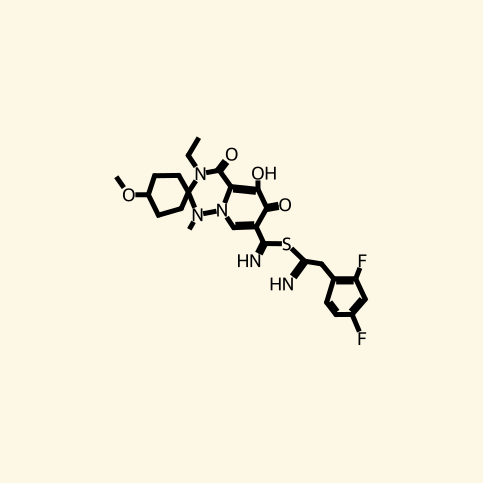 CCN1C(=O)c2c(O)c(=O)c(C(=N)SC(=N)Cc3ccc(F)cc3F)cn2N(C)C12CCC(OC)CC2